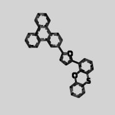 c1ccc2c(c1)Oc1c(cccc1-c1ccc(-c3ccc4c5ccccc5c5ccccc5c4c3)o1)S2